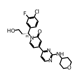 O=c1cc(-c2ccnc(NC3CCOCC3)n2)ccn1[C@H](CCO)c1ccc(Cl)c(F)c1